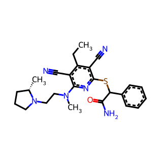 CCc1c(C#N)c(SC(C(N)=O)c2ccccc2)nc(N(C)CCN2CCC[C@@H]2C)c1C#N